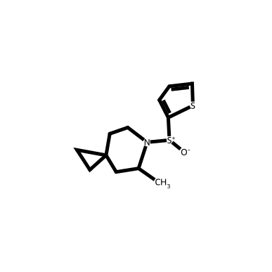 CC1CC2(CCN1[S+]([O-])c1cccs1)CC2